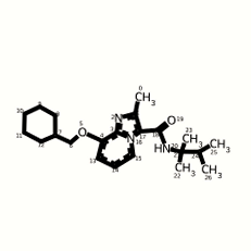 Cc1nc2c(OCC3CCCCC3)cccn2c1C(=O)NC(C)(C)C(C)C